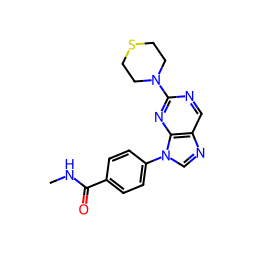 CNC(=O)c1ccc(-n2cnc3cnc(N4CCSCC4)nc32)cc1